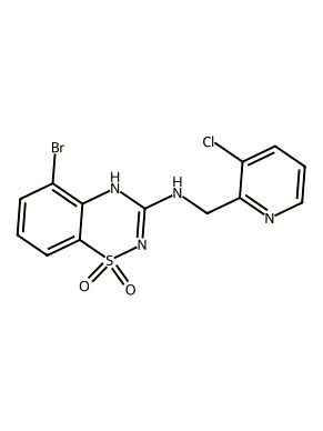 O=S1(=O)N=C(NCc2ncccc2Cl)Nc2c(Br)cccc21